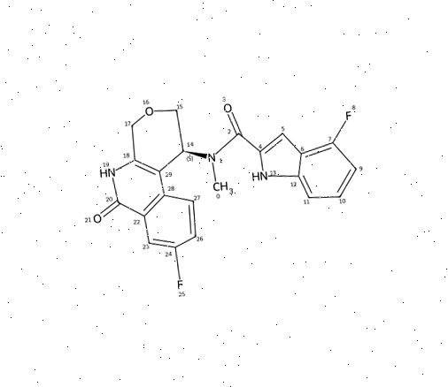 CN(C(=O)c1cc2c(F)cccc2[nH]1)[C@@H]1COCc2[nH]c(=O)c3cc(F)ccc3c21